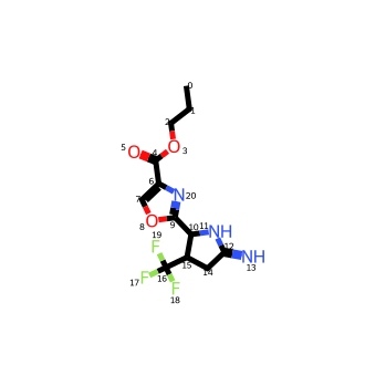 CCCOC(=O)c1coc(C2NC(=N)CC2C(F)(F)F)n1